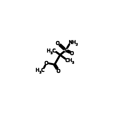 COC(=O)C(C)(C)S(N)(=O)=O